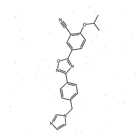 CC(C)Oc1ccc(-c2nc(-c3ccc(Cn4ccnc4)cc3)no2)cc1C#N